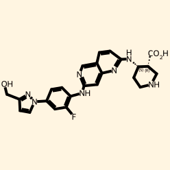 O=C(O)[C@@H]1CNCC[C@@H]1Nc1ccc2cnc(Nc3ccc(-n4ccc(CO)n4)cc3F)cc2n1